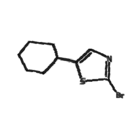 Brc1ncc(C2CCCCC2)s1